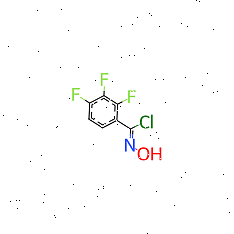 ON=C(Cl)c1ccc(F)c(F)c1F